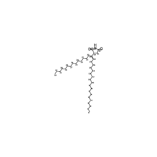 CCCCCCCCCCCCCCCCCCC=C(CCCCCCCCCCCCCC)C1CC(=O)NC1=O